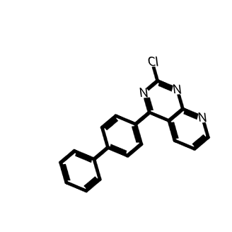 Clc1nc(-c2ccc(-c3ccccc3)cc2)c2cccnc2n1